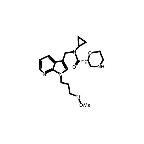 COOCCCn1cc(CN(C(=O)[C@H]2CNCCO2)C2CC2)c2cccnc21